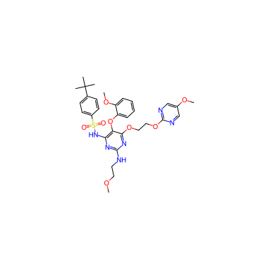 COCCNc1nc(NS(=O)(=O)c2ccc(C(C)(C)C)cc2)c(Oc2ccccc2OC)c(OCCOc2ncc(OC)cn2)n1